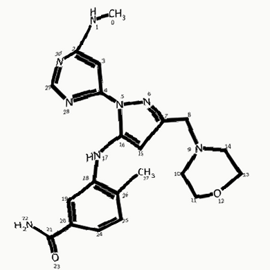 CNc1cc(-n2nc(CN3CCOCC3)cc2Nc2cc(C(N)=O)ccc2C)ncn1